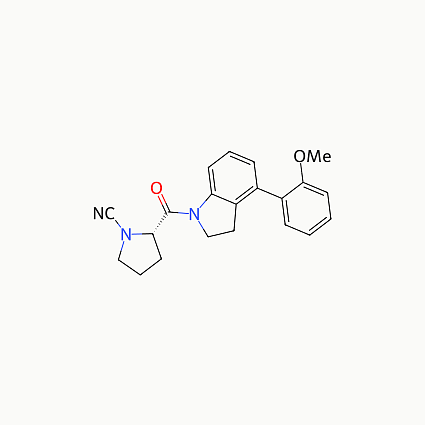 COc1ccccc1-c1cccc2c1CCN2C(=O)[C@@H]1CCCN1C#N